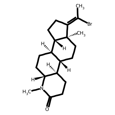 C/C(Br)=C1\CC[C@H]2[C@@H]3CC[C@@H]4[C@H](CCC(=O)N4C)[C@H]3CC[C@]12C